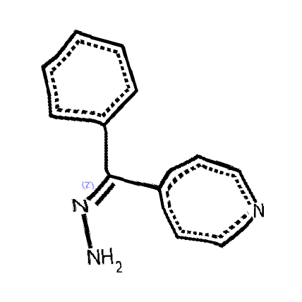 N/N=C(/c1ccccc1)c1ccncc1